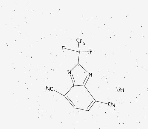 N#Cc1ccc(C#N)c2c1=NC(C(F)(F)C(F)(F)F)N=2.[LiH]